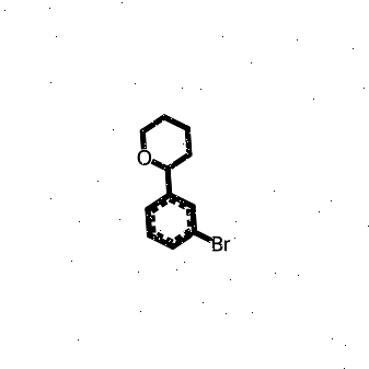 Brc1cccc(C2CCCCO2)c1